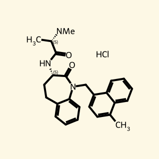 CN[C@@H](C)C(=O)N[C@H]1CCc2ccccc2N(Cc2ccc(C)c3ccccc23)C1=O.Cl